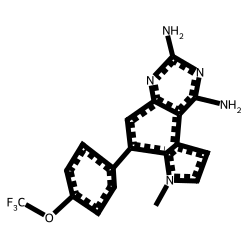 Cn1ccc2c3c(N)nc(N)nc3cc(-c3ccc(OC(F)(F)F)cc3)c21